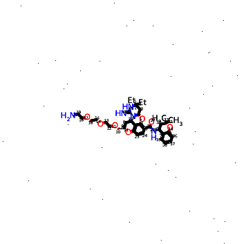 CCC1(CC)CC(=O)N([C@@H]2C[C@@H](COCCOCCOCCN)Oc3ccc(C(=O)N[C@H]4CC(C)(C)Oc5ccccc54)cc32)C(=N)N1